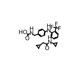 O=C(CC1CC1)NC1CC1.O=C(O)NCc1ccc(Nc2ccccc2C(F)(F)F)cc1